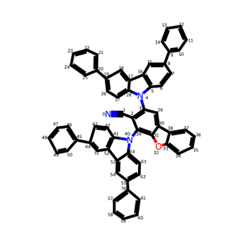 N#Cc1c(-n2c3ccc(-c4ccccc4)cc3c3cc(-c4ccccc4)ccc32)cc2c(oc3ccccc32)c1-n1c2ccc(-c3ccccc3)cc2c2cc(-c3ccccc3)ccc21